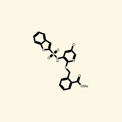 COC(=O)c1ccccc1CSc1ncc(Cl)cc1NS(=O)(=O)c1cc2ccccc2o1